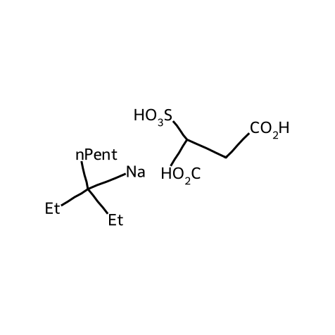 CCCCC[C]([Na])(CC)CC.O=C(O)CC(C(=O)O)S(=O)(=O)O